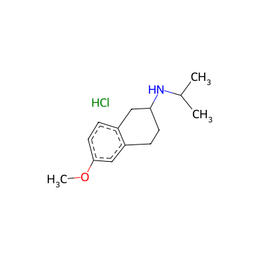 COc1ccc2c(c1)CCC(NC(C)C)C2.Cl